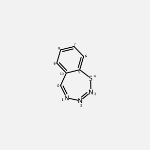 C1=NN=NSc2ccccc21